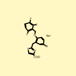 O=C([O-])c1csc(Cc2cc(Br)ccc2OCc2c(F)ccc(F)c2F)n1.[Na+]